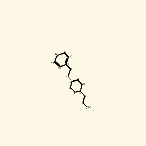 CCC[C@H]1CC[C@H](CCC2=CCCC=[C]2)CC1